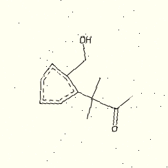 CC(=O)C(C)(C)c1ccccc1CO